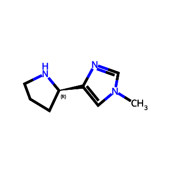 Cn1cnc([C@H]2CCCN2)c1